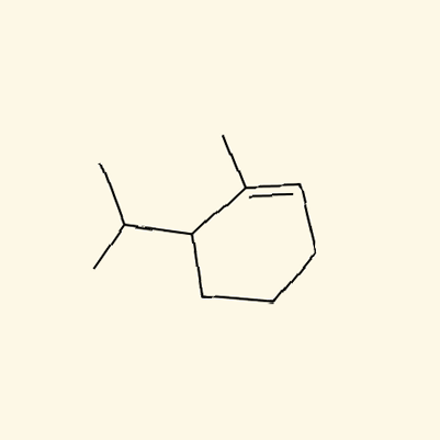 CC1=CCCCC1C(C)C